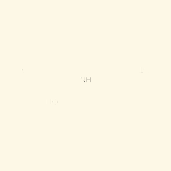 CC(C)(C)COc1cccc(CC(N)C(O)c2cccc(Cl)c2)c1